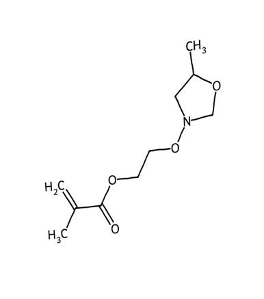 C=C(C)C(=O)OCCON1COC(C)C1